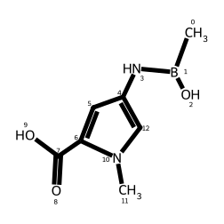 CB(O)Nc1cc(C(=O)O)n(C)c1